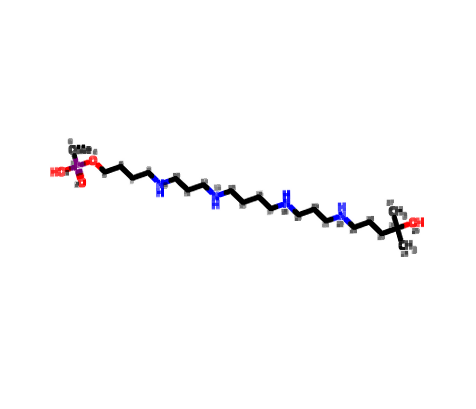 COP(=O)(O)OCCCCNCCCNCCCCNCCCNCCCC(C)(C)O